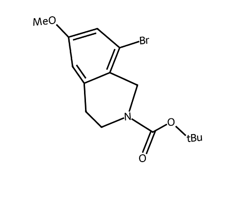 COc1cc(Br)c2c(c1)CCN(C(=O)OC(C)(C)C)C2